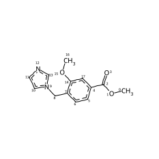 COC(=O)c1ccc(Cn2ccnc2)c(OC)c1